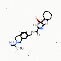 N/C=C(/C=O)N1CCc2ccc(CNC(=O)c3nc4sc5c(c4c(=O)[nH]3)CCCCC5)cc2C1